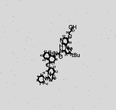 C[C@@H]1CCC[C@H](C)N1c1nnc2ccc(O[C@@H]3CC[C@H](NC(=O)Nc4cc(C(C)(C)C)nn4-c4cncc(OCCO)c4)c4ccccc43)cn12